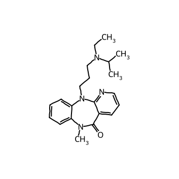 CCN(CCCN1c2ccccc2N(C)C(=O)c2cccnc21)C(C)C